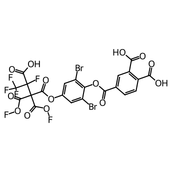 O=C(Oc1c(Br)cc(OC(=O)C(C(=O)OF)(C(=O)OF)C(F)(C(=O)O)C(F)(F)F)cc1Br)c1ccc(C(=O)O)c(C(=O)O)c1